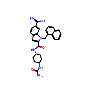 N=C(N)c1ccc2cc(C(=O)N[C@H]3CC[C@H](NC(N)=O)CC3)n(Cc3cccc4ccccc34)c2c1